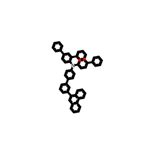 c1ccc(-c2ccc(N(c3ccc(-c4cccc(-c5cc6ccccc6c6ccccc56)c4)cc3)c3ccc(-c4ccccc4)cc3-c3ccccc3)cc2)cc1